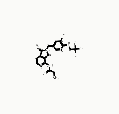 CCC(=O)Nc1nccc2c1CN(Cc1cnc(OCC(F)(F)F)c(Cl)c1)C2=O